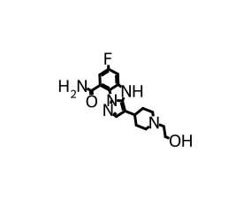 NC(=O)c1cc(F)cc2[nH]c3c(C4CCN(CCO)CC4)cnn3c12